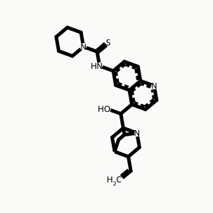 C=CC1CN2CCC1CC2C(O)c1ccnc2ccc(NC(=S)N3CCCCC3)cc12